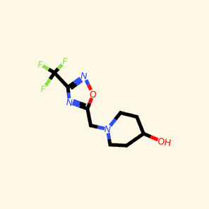 OC1CCN(Cc2nc(C(F)(F)F)no2)CC1